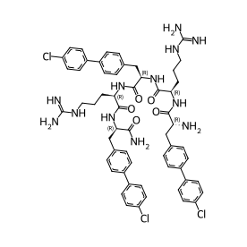 N=C(N)NCCC[C@@H](NC(=O)[C@H](N)Cc1ccc(-c2ccc(Cl)cc2)cc1)C(=O)N[C@H](Cc1ccc(-c2ccc(Cl)cc2)cc1)C(=O)N[C@H](CCCNC(=N)N)C(=O)N[C@H](Cc1ccc(-c2ccc(Cl)cc2)cc1)C(N)=O